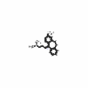 CN(C)CC/C=C1/c2ccccc2CCc2cc(C(=O)O)ccc21